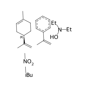 C=C(C)[C@H]1CC=C(C)CC1.C=C(C)c1ccccc1.CCN(O)CC.C[N+](=O)[O-].[CH2]CC(C)C